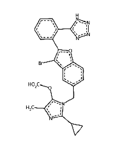 Cc1nc(C2CC2)n(Cc2ccc3oc(-c4ccccc4-c4nnn[nH]4)c(Br)c3c2)c1OC(=O)O